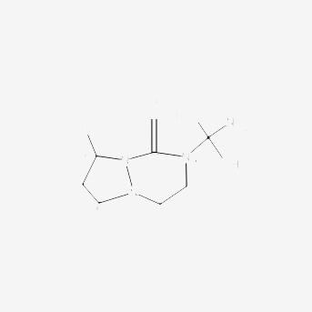 CC(C)(N)N1CCN2CCC(C=O)N2C1=O